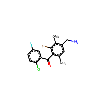 COc1c(CN)cc([N+](=O)[O-])c(C(=O)c2cc(F)ccc2Cl)c1Br